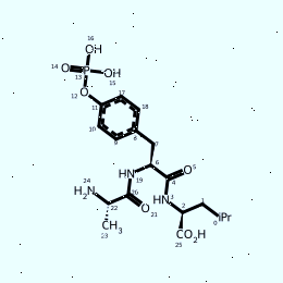 CC(C)C[C@H](NC(=O)[C@H](Cc1ccc(OP(=O)(O)O)cc1)NC(=O)[C@H](C)N)C(=O)O